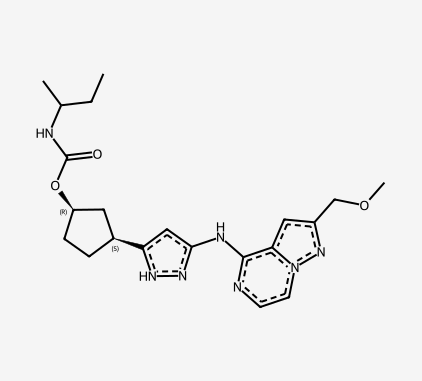 CCC(C)NC(=O)O[C@@H]1CC[C@H](c2cc(Nc3nccn4nc(COC)cc34)n[nH]2)C1